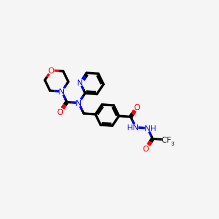 O=C(NNC(=O)C(F)(F)F)c1ccc(CN(C(=O)N2CCOCC2)c2ccccn2)cc1